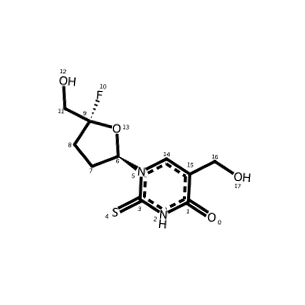 O=c1[nH]c(=S)n([C@H]2CC[C@@](F)(CO)O2)cc1CO